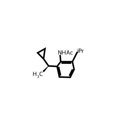 CC(=O)Nc1c(C(C)C)cccc1[C@@H](C)C1CC1